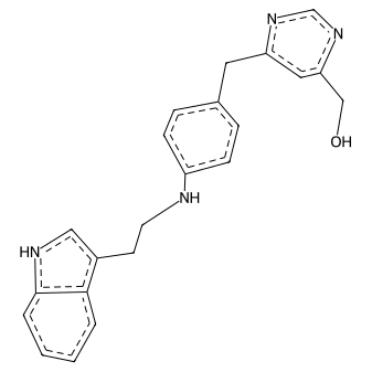 OCc1cc(Cc2ccc(NCCc3c[nH]c4ccccc34)cc2)ncn1